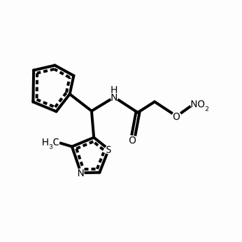 Cc1ncsc1C(NC(=O)CO[N+](=O)[O-])c1ccccc1